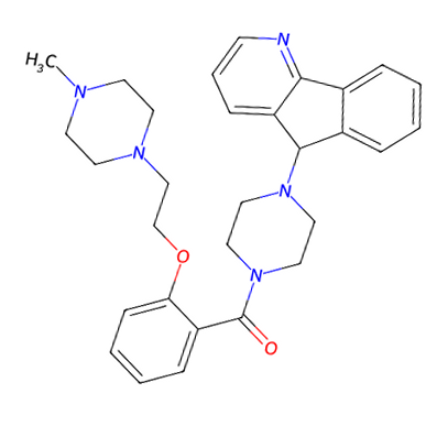 CN1CCN(CCOc2ccccc2C(=O)N2CCN(C3c4ccccc4-c4ncccc43)CC2)CC1